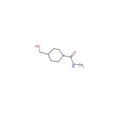 CNC(=O)N1CCC(CO)CC1